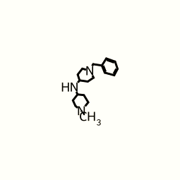 CN1CCC(NC2CCN(Cc3ccccc3)CC2)CC1